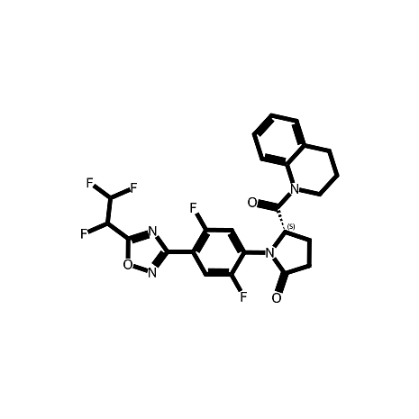 O=C([C@@H]1CCC(=O)N1c1cc(F)c(-c2noc(C(F)C(F)F)n2)cc1F)N1CCCc2ccccc21